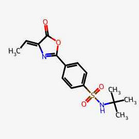 C/C=C1\N=C(c2ccc(S(=O)(=O)NC(C)(C)C)cc2)OC1=O